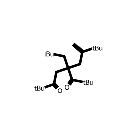 C=C(CC(CC(=O)C(C)(C)C)(CC(C)(C)C)C(=O)C(C)(C)C)C(C)(C)C